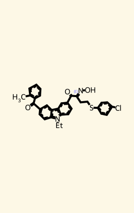 CCn1c2ccc(C(=O)/C(CCSc3ccc(Cl)cc3)=N/O)cc2c2cc(C(=O)c3ccccc3C)ccc21